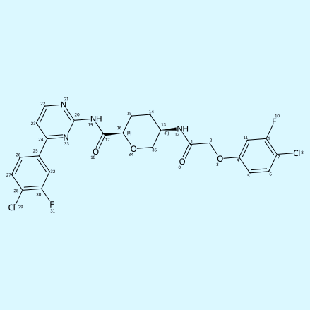 O=C(COc1ccc(Cl)c(F)c1)N[C@@H]1CC[C@H](C(=O)Nc2nccc(-c3ccc(Cl)c(F)c3)n2)OC1